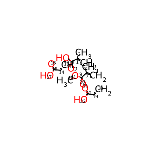 C=C(C)C(=O)O.C=C(C)C(=O)OC.C=CC(=O)O.C=CC(=O)O